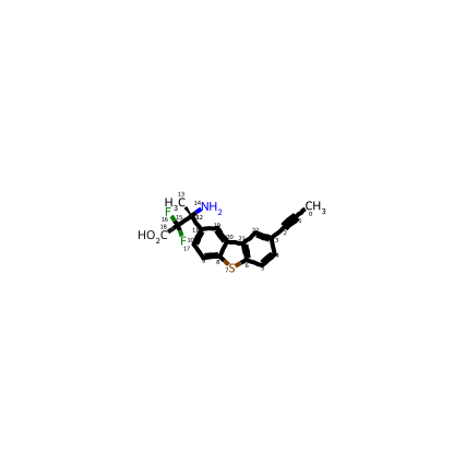 CC#Cc1ccc2sc3ccc([C@@](C)(N)C(F)(F)C(=O)O)cc3c2c1